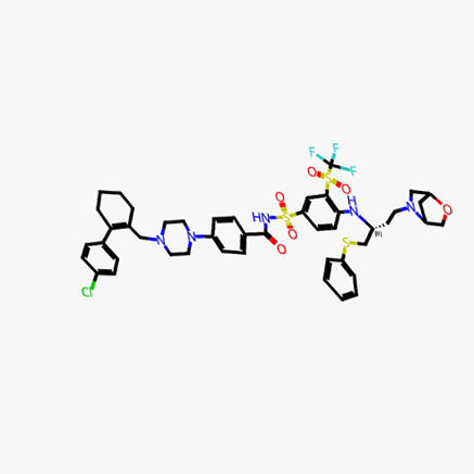 O=C(NS(=O)(=O)c1ccc(N[C@H](CCN2CC3CC2CO3)CSc2ccccc2)c(S(=O)(=O)C(F)(F)F)c1)c1ccc(N2CCN(CC3=C(c4ccc(Cl)cc4)CCCC3)CC2)cc1